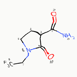 NC(=O)C1CCN(CC(F)(F)F)C1=O